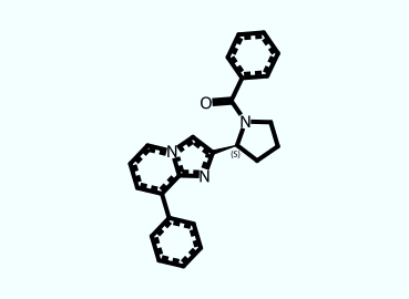 O=C(c1ccccc1)N1CCC[C@H]1c1cn2cccc(-c3ccccc3)c2n1